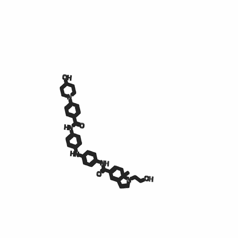 CC12CC=C(C(=O)Nc3ccc(Nc4ccc(NC(=O)c5ccc(N6CCC(O)CC6)cc5)cc4)cc3)C=C1C=CN2CCO